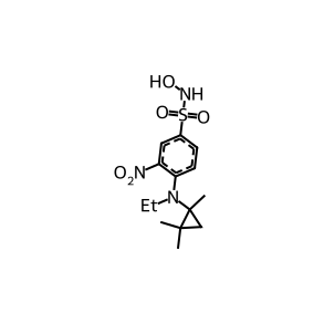 CCN(c1ccc(S(=O)(=O)NO)cc1[N+](=O)[O-])C1(C)CC1(C)C